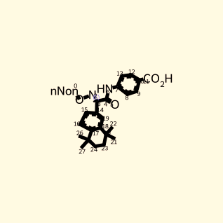 CCCCCCCCCO/N=C(/C(=O)Nc1ccc(C(=O)O)cc1)c1ccc2c(c1)C(C)(C)CCC2(C)C